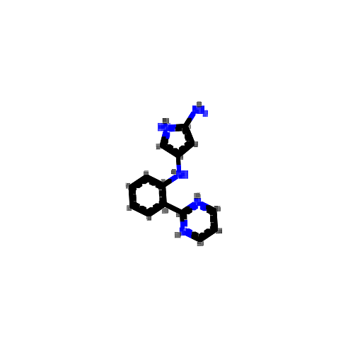 Nc1cc(Nc2ccccc2-c2ncccn2)c[nH]1